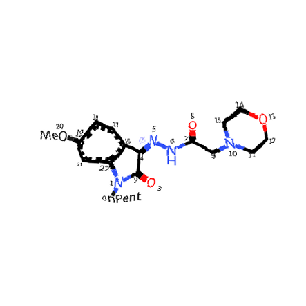 CCCCCN1C(=O)/C(=N\NC(=O)CN2CCOCC2)c2ccc(OC)cc21